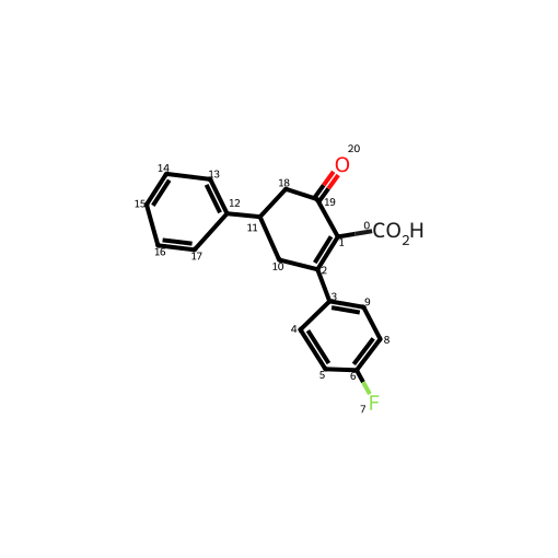 O=C(O)C1=C(c2ccc(F)cc2)CC(c2ccccc2)CC1=O